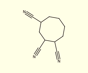 N#CC1CCCCC(C#N)C(C#N)C1